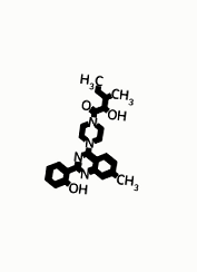 CCC(C)C(O)C(=O)N1CCN(c2nc(-c3ccccc3O)nc3cc(C)ccc23)CC1